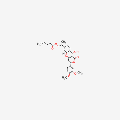 CCCCC(=O)OCC(C)[C@H]1CCC2[C@H](C1)Oc1cc(-c3ccc(OC)c(OC)c3)oc(=O)c1[C@H]2O